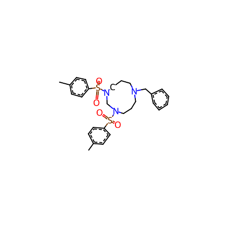 Cc1ccc(S(=O)(=O)N2CCCN(Cc3ccccc3)CCCN(S(=O)(=O)c3ccc(C)cc3)C2)cc1